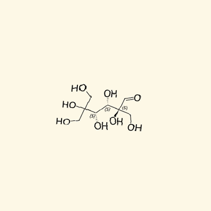 O=C[C@](O)(CO)[C@@H](O)[C@H](O)C(O)(CO)CO